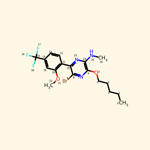 CCCCCOc1nc(Br)c(-c2ccc(C(F)(F)F)cc2OC)nc1NC